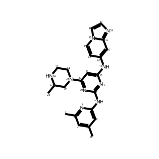 Cc1cc(C)nc(Nc2nc(Nc3ccn4ccnc4c3)cc(N3CCNC(C)C3)n2)c1